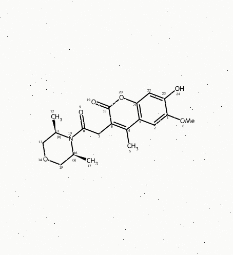 COc1cc2c(C)c(CC(=O)N3[C@H](C)COC[C@@H]3C)c(=O)oc2cc1O